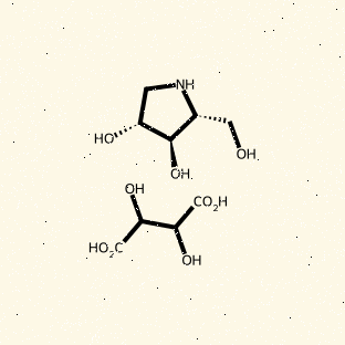 O=C(O)C(O)C(O)C(=O)O.OC[C@H]1NC[C@@H](O)[C@@H]1O